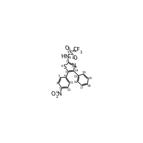 O=[N+]([O-])c1ccc(-c2sc(NS(=O)(=O)C(F)(F)F)nc2-c2ccccc2)cc1